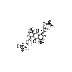 CCP(=O)(CC)CCCNc1ccc(O)c2c1C(=O)c1c(O)ccc(NCCCP(=O)(CC)CC)c1C2=O